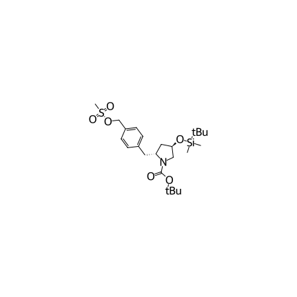 CC(C)(C)OC(=O)N1C[C@H](O[Si](C)(C)C(C)(C)C)C[C@H]1Cc1ccc(COS(C)(=O)=O)cc1